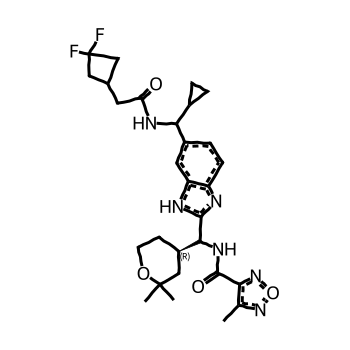 Cc1nonc1C(=O)NC(c1nc2ccc(C(NC(=O)CC3CC(F)(F)C3)C3CC3)cc2[nH]1)[C@@H]1CCOC(C)(C)C1